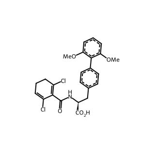 COc1cccc(OC)c1-c1ccc(C[C@H](NC(=O)C2=C(Cl)CCC=C2Cl)C(=O)O)cc1